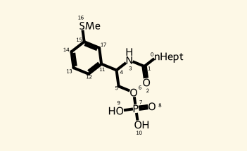 CCCCCCCC(=O)NC(COP(=O)(O)O)c1cccc(SC)c1